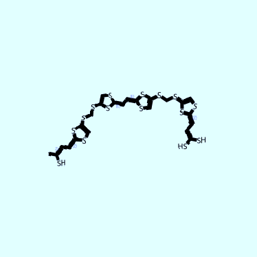 C/C(S)=C/C=C1/SC=C(SCSC2=CS/C(=C\C=C3/SC=C(SCSC4=CS/C(=C/C=C(S)S)S4)S3)S2)S1